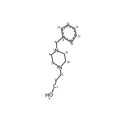 OCCCN1CCN(Cc2ccccc2)CC1